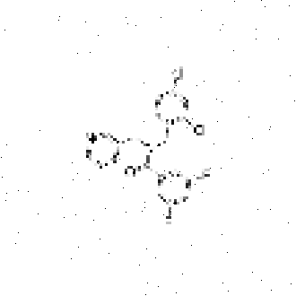 O=C(c1cc(F)cc(F)c1)N(Cc1cccnc1)Cc1ccc(Cl)cc1Cl